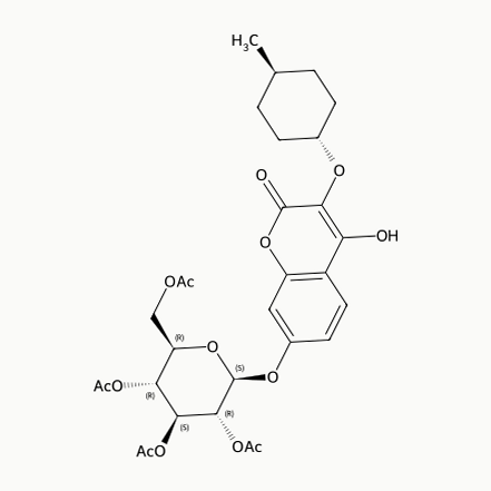 CC(=O)OC[C@H]1O[C@@H](Oc2ccc3c(O)c(O[C@H]4CC[C@H](C)CC4)c(=O)oc3c2)[C@H](OC(C)=O)[C@@H](OC(C)=O)[C@@H]1OC(C)=O